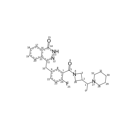 CC(C1CN(C(=O)c2cc(Cc3n[nH]c(=O)c4ccccc34)ccc2F)C1)N1CCCCC1